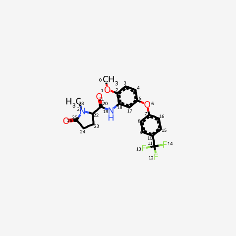 COc1ccc(Oc2ccc(C(F)(F)F)cc2)cc1NC(=O)C1CCC(=O)N1C